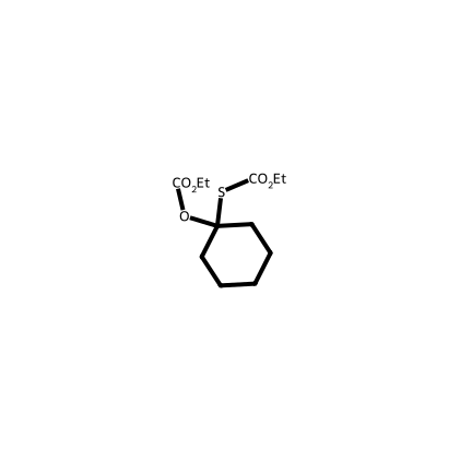 CCOC(=O)OC1(SC(=O)OCC)CCCCC1